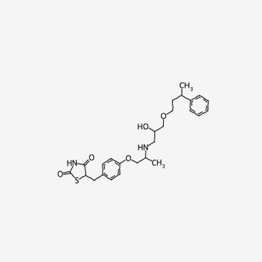 CC(COc1ccc(CC2SC(=O)NC2=O)cc1)NCC(O)COCCC(C)c1ccccc1